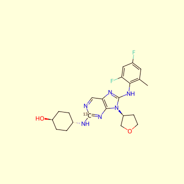 Cc1cc(F)cc(F)c1Nc1nc2cn[13c](N[C@H]3CC[C@H](O)CC3)nc2n1[C@H]1CCOC1